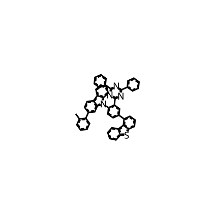 Cc1ccccc1-c1ccc2c3ccccc3n(-c3ccc(-c4cccc5sc6ccccc6c45)cc3-c3nc(-c4ccccc4)nc(-c4ccccc4)n3)c2c1